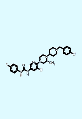 C[C@H]1CN(c2ncc(NC(=O)Nc3ccc(F)cc3)cc2Cl)CCN1C1CCN(Cc2ccc(Cl)cc2)CC1